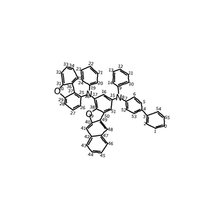 c1ccc(-c2ccc(N(c3ccccc3)c3cc(N(c4ccccc4)c4cccc5oc6ccccc6c45)c4oc5cc6ccccc6cc5c4c3)cc2)cc1